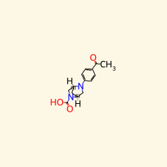 CC(=O)c1ccc(N2C[C@@H]3C[C@H]2CN3C(=O)O)cc1